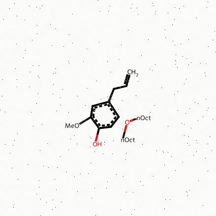 C=CCc1ccc(O)c(OC)c1.CCCCCCCCOCCCCCCCC